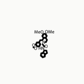 COc1cc2c(cc1OC)C(Cc1ccc3c(c1)OCO3)N(CC(=O)NC1CCc3ccccc31)CC2